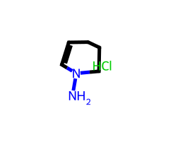 Cl.NN1C=CCCC1